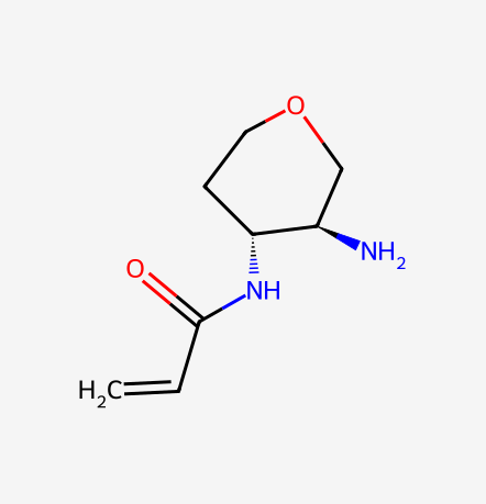 C=CC(=O)N[C@@H]1CCOC[C@H]1N